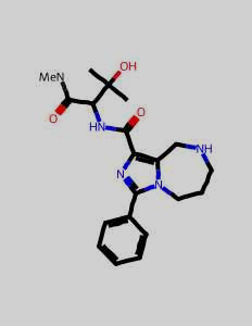 CNC(=O)C(NC(=O)c1nc(-c2ccccc2)n2c1CNCCC2)C(C)(C)O